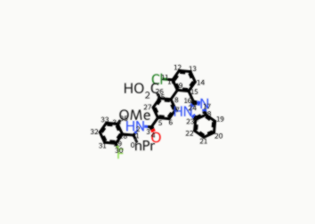 CCCC(NC(=O)c1ccc(-c2c(Cl)cccc2-c2nc3ccccc3[nH]2)c(C(=O)O)c1)c1c(F)cccc1OC